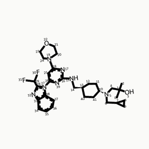 CC(C)(O)CN(CC1CC1)[C@H]1CC[C@H](CNc2nc(N3CCOCC3)cc(-n3c(C(F)F)nc4ccccc43)n2)CC1